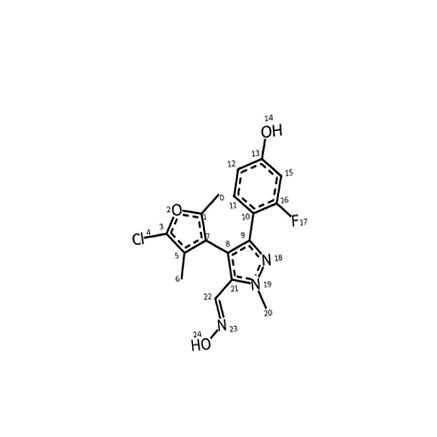 Cc1oc(Cl)c(C)c1-c1c(-c2ccc(O)cc2F)nn(C)c1/C=N/O